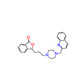 O=C1OC(CCCN2CCN(Cc3ccc4ccccc4n3)CC2)c2ccccc21